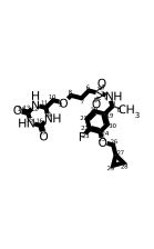 C[C@@H](NS(=O)(=O)CCCOCC1NC(=O)NC(=O)N1)c1ccc(F)c(OCC2CC2)c1